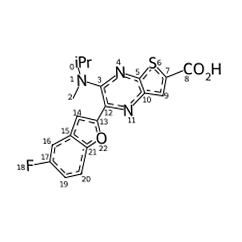 CC(C)N(C)c1nc2sc(C(=O)O)cc2nc1-c1cc2cc(F)ccc2o1